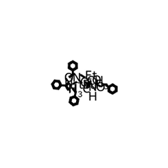 CC[C@@H](CN(C(=O)c1ccccc1)[C@@H](c1nc(-c2ccccc2)cn1Cc1ccccc1)C(C)(C)C)OC(C)(C)NC(=O)OCc1ccccc1